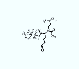 CC(C)CCN(C(=O)O)[C@@H](CCCC=O)CO[Si](C)(C)C(C)(C)C